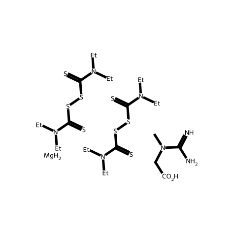 CCN(CC)C(=S)SSC(=S)N(CC)CC.CCN(CC)C(=S)SSC(=S)N(CC)CC.CN(CC(=O)O)C(=N)N.[MgH2]